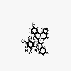 Cc1cc(S(=O)(=O)N2CCCCC2CCC(=O)N2CCc3sccc3C2c2cccc(F)c2)c(C)cc1Cl